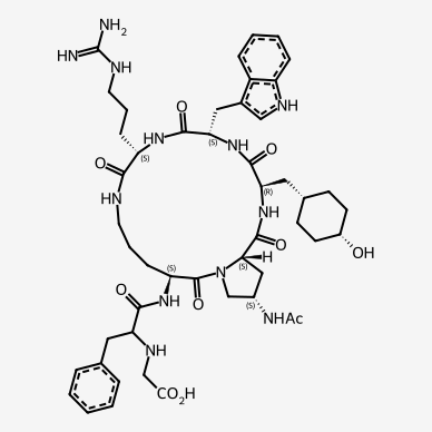 CC(=O)N[C@H]1C[C@H]2C(=O)N[C@H](C[C@H]3CC[C@@H](O)CC3)C(=O)N[C@@H](Cc3c[nH]c4ccccc34)C(=O)N[C@@H](CCCNC(=N)N)C(=O)NCCC[C@H](NC(=O)C(Cc3ccccc3)NCC(=O)O)C(=O)N2C1